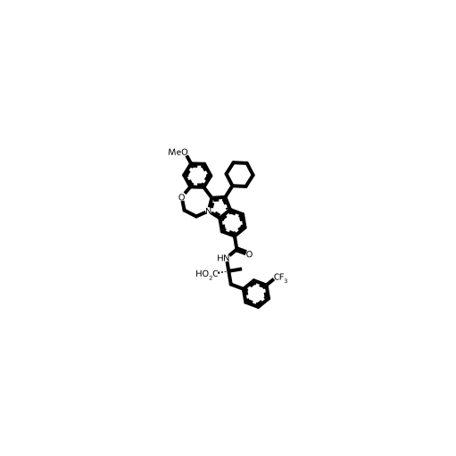 COc1ccc2c(c1)OCCn1c-2c(C2CCCCC2)c2ccc(C(=O)N[C@@](C)(Cc3cccc(C(F)(F)F)c3)C(=O)O)cc21